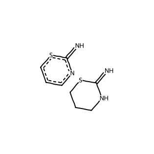 N=C1NCCCS1.N=c1ncccs1